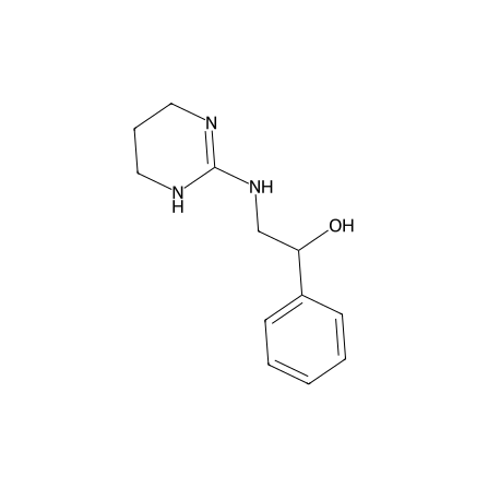 OC(CNC1=NCCCN1)c1ccccc1